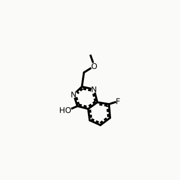 COCc1nc(O)c2cccc(F)c2n1